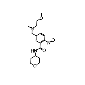 COCCN(C)Cc1ccc(N=O)c(C(=O)NC2CCOCC2)c1